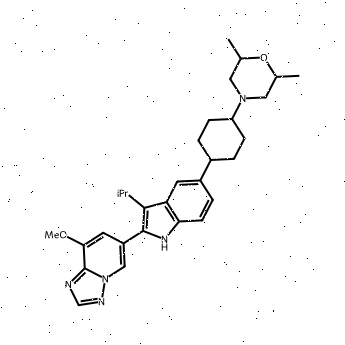 COc1cc(-c2[nH]c3ccc(C4CCC(N5CC(C)OC(C)C5)CC4)cc3c2C(C)C)cn2ncnc12